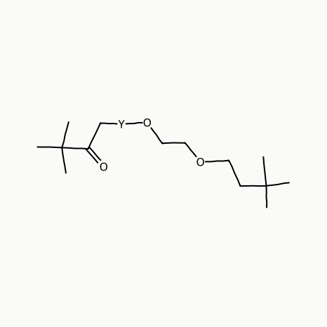 CC(C)(C)CCOCC[O][Y][CH2]C(=O)C(C)(C)C